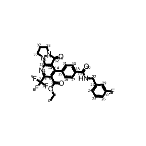 CCOC(=O)c1c(C(F)(F)F)nc2c(c1-c1ccc(C(=O)NCc3cccc(F)c3)cc1)c(=O)n1n2CCC1